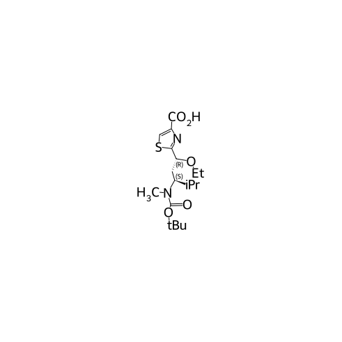 CCO[C@H](C[C@@H](C(C)C)N(C)C(=O)OC(C)(C)C)c1nc(C(=O)O)cs1